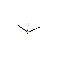 CCCCCCCCCCCCCC[P+](CCC)(CCC)CCCCCCCCCCCCCC.[I-]